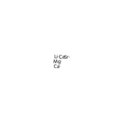 [Ca].[Ca].[Li].[Mg].[Sr]